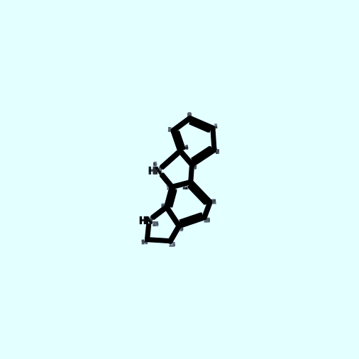 c1ccc2c(c1)[nH]c1c3c(ccc12)CCN3